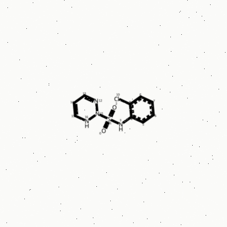 O=S(=O)(Nc1ccccc1Cl)N1N=CC=CN1